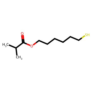 CC(C)C(=O)OCCCCCCS